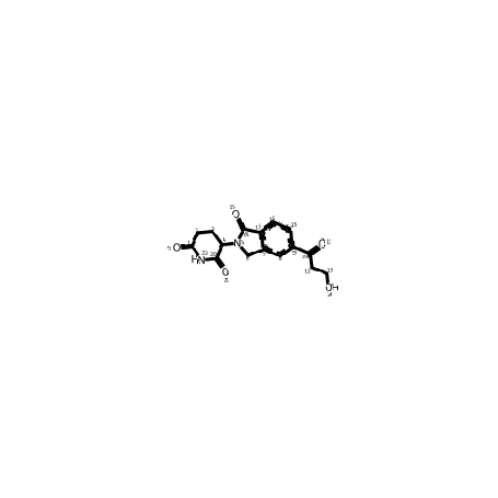 O=C1CCC(N2Cc3cc(C(=O)CCO)ccc3C2=O)C(=O)N1